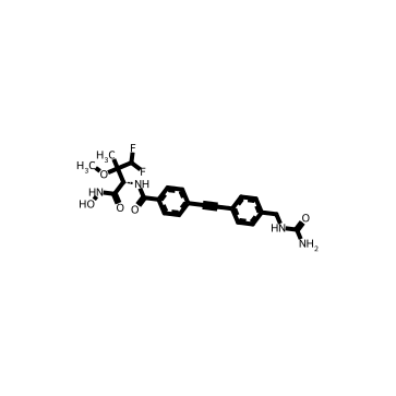 COC(C)(C(F)F)[C@H](NC(=O)c1ccc(C#Cc2ccc(CNC(N)=O)cc2)cc1)C(=O)NO